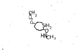 CNOC1CCCC(OCOC)CC[SiH2]1